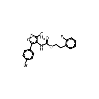 Cc1noc(-c2ccc(Br)cc2)c1NC(=O)OCCc1ccccc1F